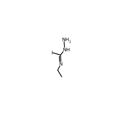 CCN=C(I)NN